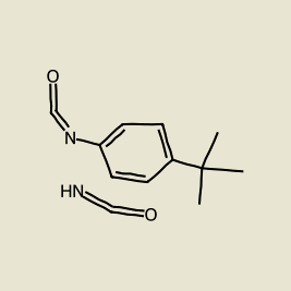 CC(C)(C)c1ccc(N=C=O)cc1.N=C=O